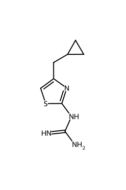 N=C(N)Nc1nc(CC2CC2)cs1